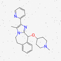 Cc1c(-c2ccccn2)nc2n1CCc1ccccc1C2OC1CCN(C)CC1